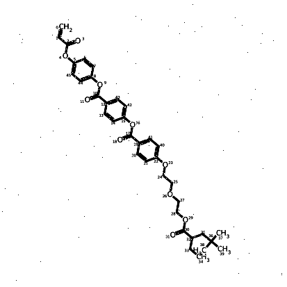 C=CC(=O)Oc1ccc(OC(=O)c2ccc(OC(=O)c3ccc(OCCOCCOC(=O)C(CC)CC(C)(C)C)cc3)cc2)cc1